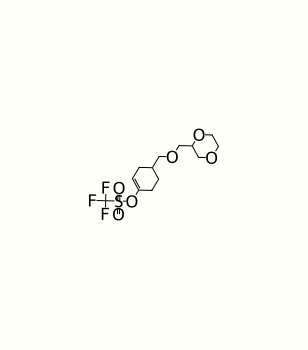 O=S(=O)(OC1=CCC(COCC2COCCO2)CC1)C(F)(F)F